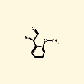 COC1=CCCC=C1C(Br)C=O